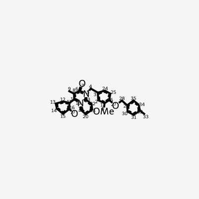 COc1cc(Cn2c(=O)c(C)c(-c3ccccc3[O-])[n+]3ccccc23)ccc1OCc1ccc(C)cc1